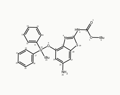 CC(C)(C)OC(=O)Nc1nc2c(O[Si](c3ccccc3)(c3ccccc3)C(C)(C)C)cc(N)cc2s1